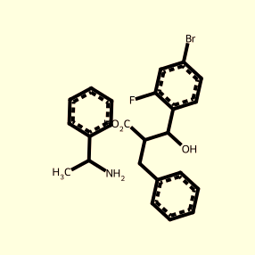 CC(N)c1ccccc1.O=C(O)C(Cc1ccccc1)C(O)c1ccc(Br)cc1F